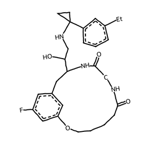 CCc1cccc(C2(NCC(O)C3Cc4cc(F)cc(c4)OCCCCC(=O)NCC(=O)N3)CC2)c1